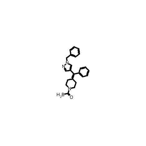 BC(=O)N1CCC(=C(c2ccccc2)c2cnn(Cc3ccccc3)c2)CC1